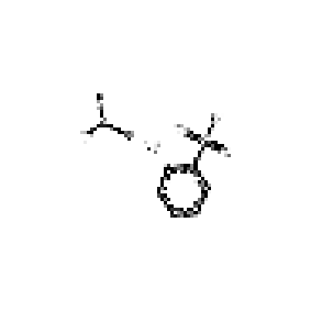 FB(F)F.O=S(=O)([O-])c1ccccc1.[Li+]